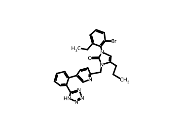 CCCc1cn(-c2c(Br)cccc2CC)c(=O)n1Cc1ccc(-c2ccccc2-c2nnn[nH]2)cn1